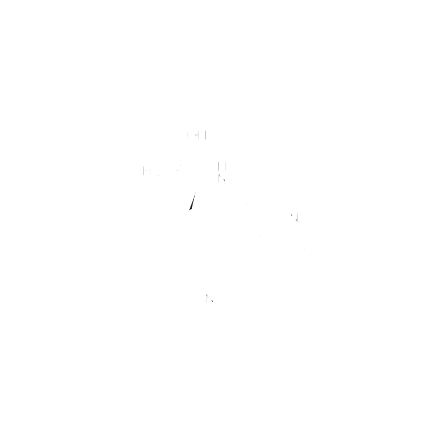 CN1CCc2c1cccc2S(=O)(=O)N[C@@H](Cc1ccccc1)C(=O)N[C@@H](CC1CCC1)B(O)O